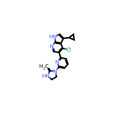 C=C1NCCN1c1cccc(-c2cnc3[nH]cc(C4CC4)c3c2Cl)n1